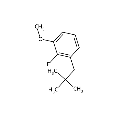 COc1cccc(CC(C)(C)C)c1F